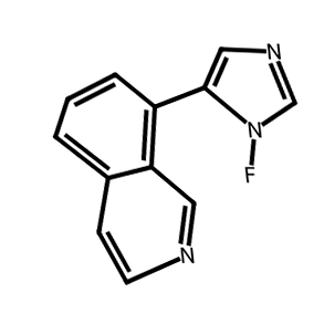 Fn1cncc1-c1cccc2ccncc12